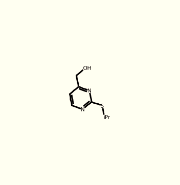 CC(C)Sc1nccc(CO)n1